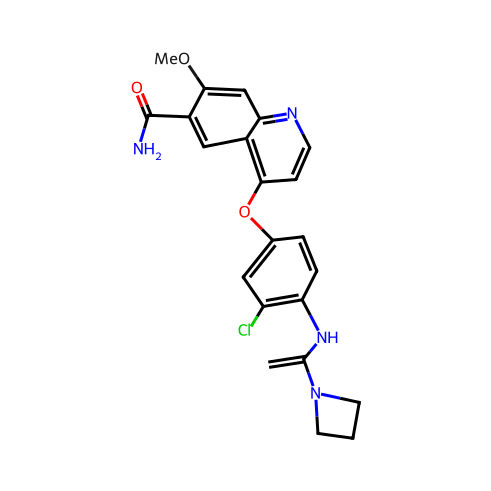 C=C(Nc1ccc(Oc2ccnc3cc(OC)c(C(N)=O)cc23)cc1Cl)N1CCC1